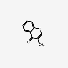 [CH2]c1coc2ccccc2c1=O